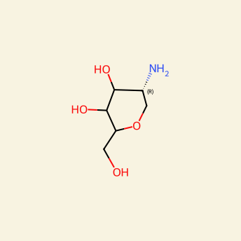 N[C@@H]1COC(CO)C(O)C1O